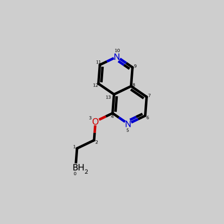 BCCOc1nccc2cnccc12